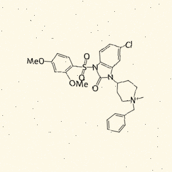 COc1ccc(S(=O)(=O)n2c(=O)n(C3CC[N+](C)(Cc4ccccc4)CC3)c3cc(Cl)ccc32)c(OC)c1